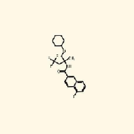 CC(COC1CCCCC1)(CC(F)(F)F)NC(=O)c1ccc2c(F)cccc2c1